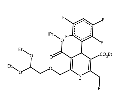 CCOC(=O)C1=C(CF)NC(COCC(OCC)OCC)=C(C(=O)OC(C)C)C1c1c(F)c(F)cc(F)c1F